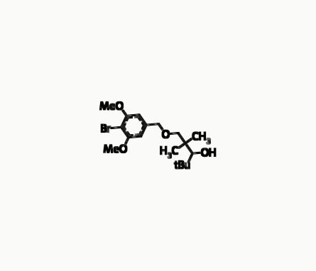 COc1cc(COCC(C)(C)C(O)C(C)(C)C)cc(OC)c1Br